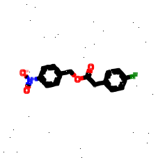 O=C([CH]c1ccc(F)cc1)OCc1ccc([N+](=O)[O-])cc1